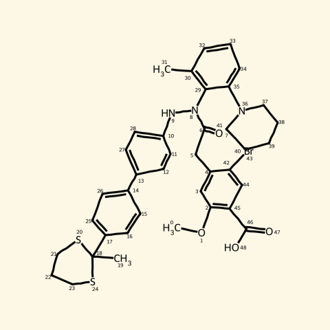 COc1cc(CC(=O)N(Nc2ccc(-c3ccc(C4(C)SCCCS4)cc3)cc2)c2c(C)cccc2N2CCCCC2)c(Br)cc1C(=O)O